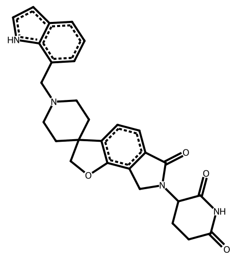 O=C1CCC(N2Cc3c(ccc4c3OCC43CCN(Cc4cccc5cc[nH]c45)CC3)C2=O)C(=O)N1